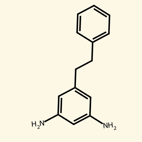 Nc1cc(N)cc(CCc2ccccc2)c1